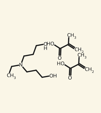 C=C(C)C(=O)O.C=C(C)C(=O)O.CCN(CCCO)CCCO